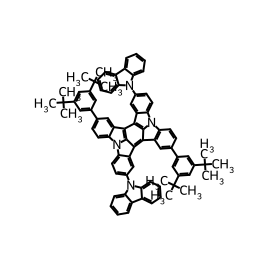 CC(C)(C)c1cc(-c2ccc3c(c2)c2c4c5cc(-n6c7ccccc7c7ccccc76)ccc5n5c6ccc(-c7cc(C(C)(C)C)cc(C(C)(C)C)c7)cc6c(c6c7cc(-n8c9ccccc9c9ccccc98)ccc7n3c26)c45)cc(C(C)(C)C)c1